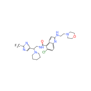 O=C(NCC(c1cnc(C(F)(F)F)nc1)N1CCCCC1)c1c(Cl)ccc2nc(NCCN3CCOCC3)ccc12